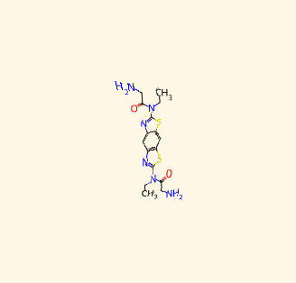 CCN(C(=O)CN)c1nc2cc3nc(N(CC)C(=O)CN)sc3cc2s1